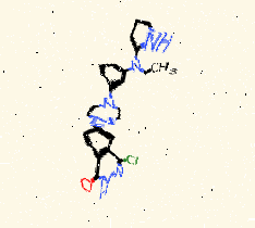 CCN(c1cccc(N2CCN(c3ccc4c(=O)[nH]nc(Cl)c4c3)CC2)c1)C1CCCN1